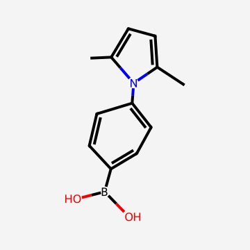 Cc1ccc(C)n1-c1ccc(B(O)O)cc1